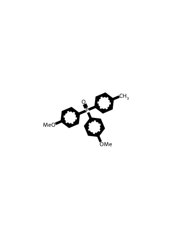 COc1ccc(P(=O)(c2ccc(C)cc2)c2ccc(OC)cc2)cc1